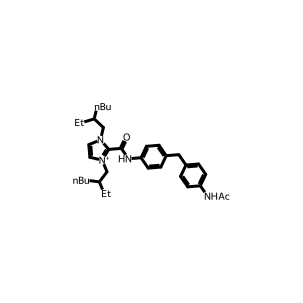 CCCCC(CC)Cn1cc[n+](CC(CC)CCCC)c1C(=O)Nc1ccc(Cc2ccc(NC(C)=O)cc2)cc1